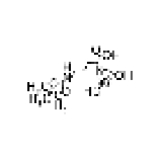 CC(C)(C)OC(=O)NCCCCC(C(=O)O)N(CC(=O)O)CC(=O)O